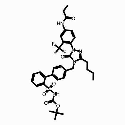 CCCCc1nn(-c2ccc(NC(=O)CC)cc2C(F)(F)F)c(=O)n1Cc1ccc(-c2ccccc2S(=O)(=O)NC(=O)OC(C)(C)C)cc1